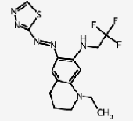 CCN1CCCc2cc(N=Nc3nncs3)c(NCC(F)(F)F)cc21